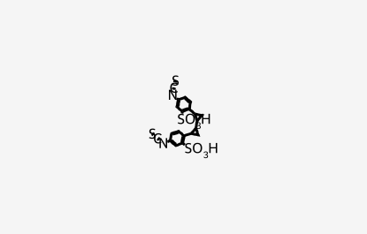 O=S(=O)(O)c1cc(N=C=S)ccc1C1CC1C1CC1c1ccc(N=C=S)cc1S(=O)(=O)O